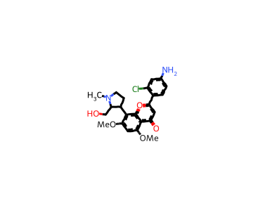 COc1cc(OC)c2c(=O)cc(-c3ccc(N)cc3Cl)oc2c1C1CCN(C)C1CO